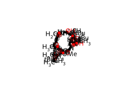 C=C1C[C@@H]2CCC(O)/C=C/C(O[Si](C)(C)C(C)(C)C)[C@@H]3O[C@H]4CC[C@H](CC(=O)C[C@H]5C(C[C@H]6OC(CCC1O2)C[C@@H](C)C6=C)OC(C[C@@H](CO[Si](C)(C)C(C)(C)C)O[Si](C)(C)C(C)(C)C)[C@@H]5OC)O[C@@H]4[C@H](O)C3O[Si](C)(C)C(C)(C)C